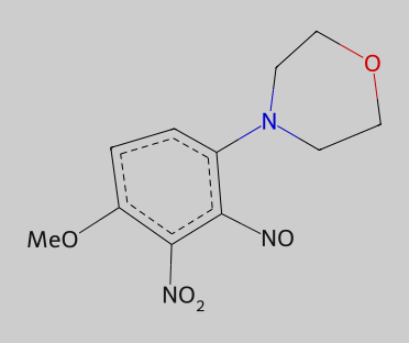 COc1ccc(N2CCOCC2)c(N=O)c1[N+](=O)[O-]